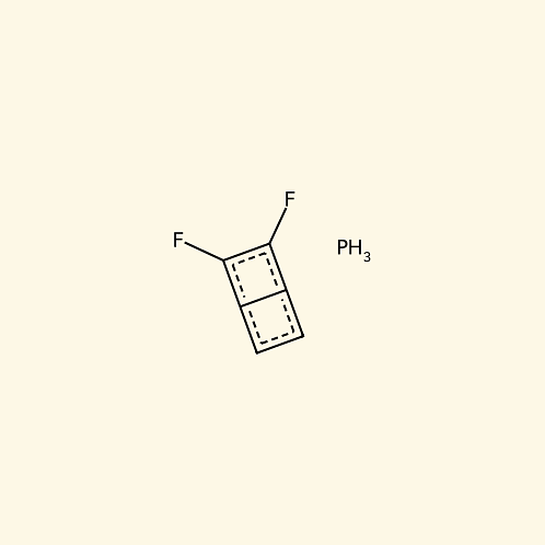 Fc1c2ccc-2c1F.P